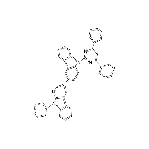 c1ccc(-c2cc(-c3ccccc3)nc(-n3c4ccccc4c4cc(-c5cnc6c(c5)c5ccccc5n6-c5ccccc5)ccc43)n2)cc1